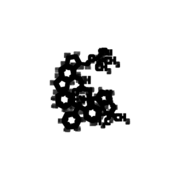 CC1(C)Cn2ncc([S@](=O)(=NC(=O)Nc3c4c(cc5c3[C@H](CO[Si](C)(C)C(C)(C)C)CC5)CCC4)NC(c3ccccc3)(c3ccccc3)c3ccccc3)c2O1